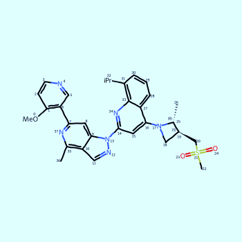 COc1ccncc1-c1cc2c(cnn2-c2cc(N3C[C@H](CS(C)(=O)=O)[C@H]3C)c3cccc(C(C)C)c3n2)c(C)n1